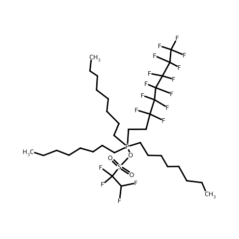 CCCCCCCCP(CCCCCCCC)(CCCCCCCC)(CCC(F)(F)C(F)(F)C(F)(F)C(F)(F)C(F)(F)C(F)(F)F)OS(=O)(=O)C(F)(F)C(F)F